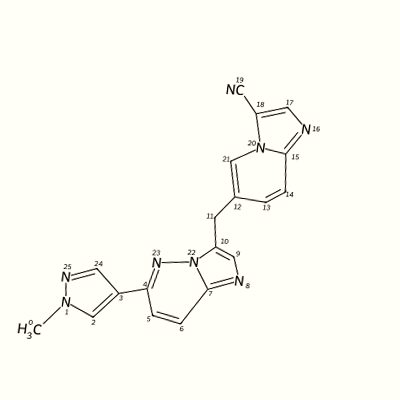 Cn1cc(-c2ccc3ncc(Cc4ccc5ncc(C#N)n5c4)n3n2)cn1